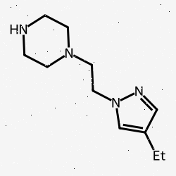 CCc1cnn(CCN2CCNCC2)c1